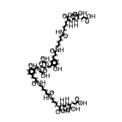 O=C(O)CC[C@H](NC(=O)N[C@@H](CCCCNC(=O)CCCCCNC(=O)CCc1ccc(O)c(CN(CCN(CC(=O)O)Cc2cc(CCC(=O)NCCCCCC(=O)NCCCC[C@H](NC(=O)N[C@H](CCC(=O)O)C(=O)O)C(=O)O)ccc2O)CC(=O)O)c1)C(=O)O)C(=O)O